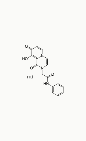 Cl.O=C(Cn1ccn2ccc(=O)c(O)c2c1=O)Nc1ccccc1